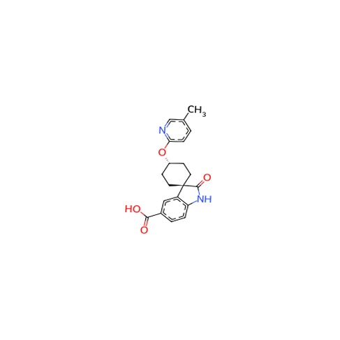 Cc1ccc(O[C@H]2CC[C@@]3(CC2)C(=O)Nc2ccc(C(=O)O)cc23)nc1